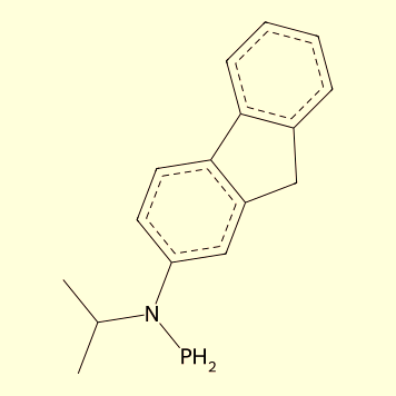 CC(C)N(P)c1ccc2c(c1)Cc1ccccc1-2